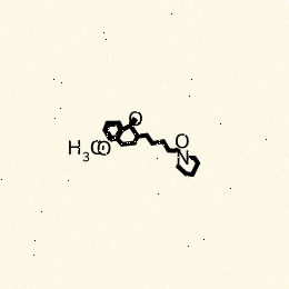 COc1cccc2c1CCC(CCCCC(=O)N1CCCCC1)C2=O